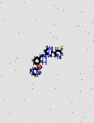 Fc1cncc(-c2nccc(NCc3cccc(Oc4cnccn4)c3)n2)c1